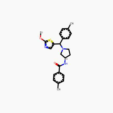 CCOc1ncc(C(c2ccc(C#N)cc2)N2CC[C@@H](NC(=O)c3ccc(C#N)cc3)C2)s1